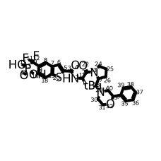 CC(C)(C)C(NC(=O)c1cc2cc(C(F)(F)P(=O)(O)O)ccc2s1)C(=O)N1CCCC1CN1CCOC(c2ccccc2)C1